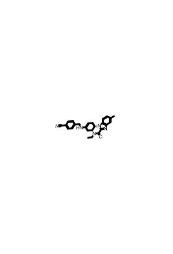 CCN(C(=O)c1nc2cc(C)ccc2[nH]1)[C@H]1CCC=C(NCc2ccc(C#N)cc2)C1